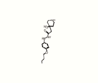 CCCCOc1ccc(NNC(=O)CC2(O)CCNCC2)cc1